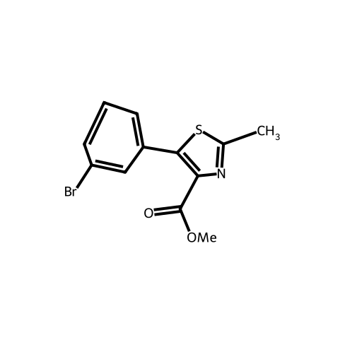 COC(=O)c1nc(C)sc1-c1cccc(Br)c1